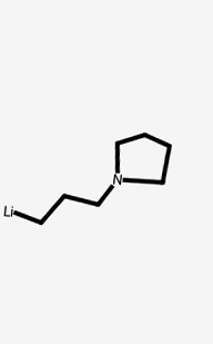 [Li][CH2]CCN1CCCC1